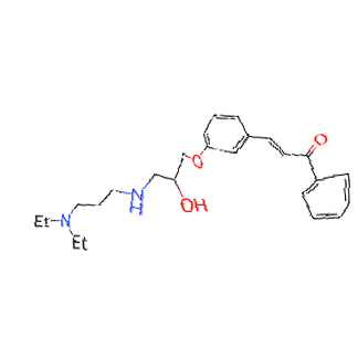 CCN(CC)CCCNCC(O)COc1cccc(/C=C/C(=O)c2ccccc2)c1